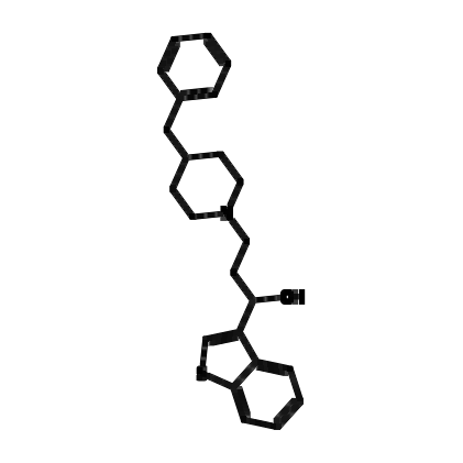 OC(CCN1CCC(Cc2ccccc2)CC1)c1csc2ccccc12